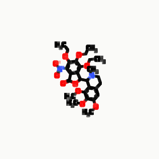 CCOc1c(OCC)c2c(c([N+](=O)[O-])c1OCC)C(=O)OC2C1c2c(cc(OC)c(OC)c2OC)CCN1C